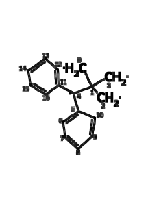 [CH2]C([CH2])([CH2])[C](c1ccccc1)c1ccccc1